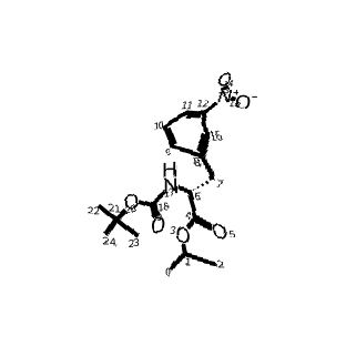 CC(C)OC(=O)[C@@H](Cc1cccc([N+](=O)[O-])c1)NC(=O)OC(C)(C)C